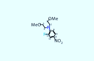 COCCN(CCOC)c1ccc([N+](=O)[O-])cc1F